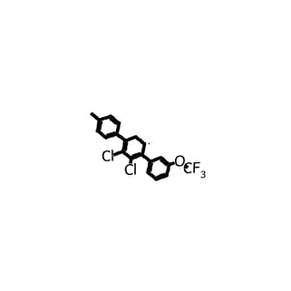 Cc1ccc(C2=C(Cl)C(Cl)=C(c3cccc(OC(F)(F)F)c3)[CH]C2)cc1